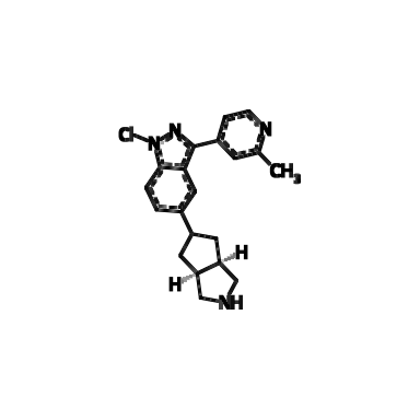 Cc1cc(-c2nn(Cl)c3ccc(C4C[C@H]5CNC[C@H]5C4)cc23)ccn1